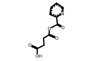 O=C(O)CCC(=O)OC(=O)c1ccccn1